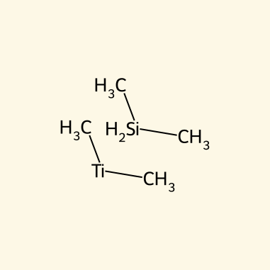 C[SiH2]C.[CH3][Ti][CH3]